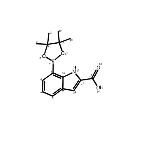 CC1(C)OB(c2cccc3cc(C(=O)O)[nH]c23)OC1(C)C